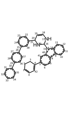 C1=CCCC(c2ccc3c4ccccc4n(C4NC=CC(c5cccc(-c6ccc(-c7ccccc7)cc6)c5)N4)c3c2)=C1